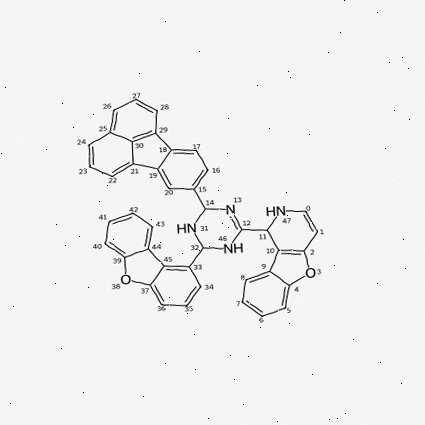 C1=Cc2oc3ccccc3c2C(C2=NC(c3ccc4c(c3)-c3cccc5cccc-4c35)NC(c3cccc4oc5ccccc5c34)N2)N1